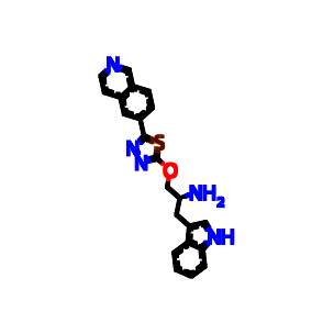 N[C@H](COc1nnc(-c2ccc3cnccc3c2)s1)Cc1c[nH]c2ccccc12